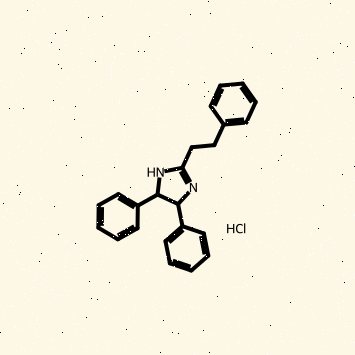 Cl.c1ccc(CCC2=NC(c3ccccc3)C(c3ccccc3)N2)cc1